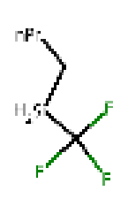 CCCC[SiH2]C(F)(F)F